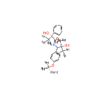 [2H]C([2H])(Oc1ccc([C@@H](NC(=O)[C@](O)(c2ccccc2)C([2H])([2H])[2H])C(O)(C([2H])([2H])[2H])C([2H])([2H])[2H])cc1)[C@@H](C)CCC